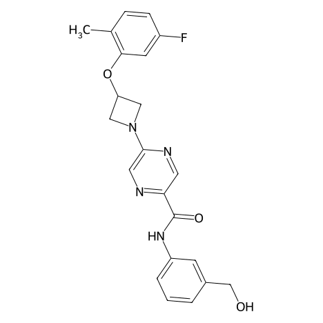 Cc1ccc(F)cc1OC1CN(c2cnc(C(=O)Nc3cccc(CO)c3)cn2)C1